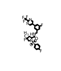 CC1(F)CC(C(=O)NCc2cc(F)cc(-c3cnc(C(F)(F)F)nc3)c2)N(S(=O)(=O)c2ccc(F)cc2)C1